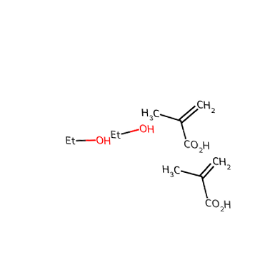 C=C(C)C(=O)O.C=C(C)C(=O)O.CCO.CCO